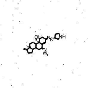 C=C1CCC2C3CC(=NOC)C4=CC(=NOC5CCNC5)CC[C@]4(CO)C3CC[C@]12C